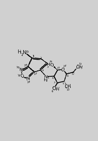 Nc1ccc(NC2C(O)[C@@H](O)C(CO)O[C@@H]2O)c2nonc12